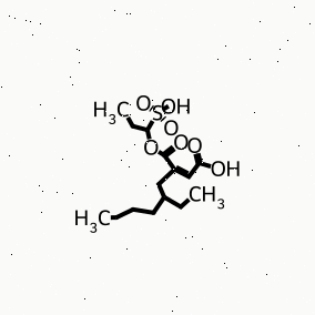 CCCCC(CC)CC(=CC(=O)O)C(=O)OC(CC)S(=O)(=O)O